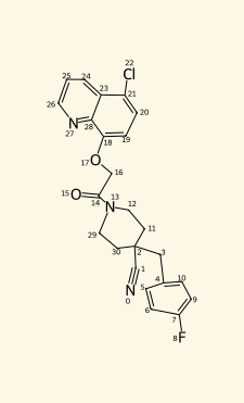 N#CC1(Cc2ccc(F)cc2)CCN(C(=O)COc2ccc(Cl)c3cccnc23)CC1